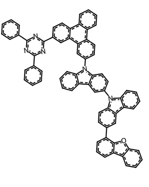 c1ccc(-c2nc(-c3ccccc3)nc(-c3ccc4c5ccccc5c5ccc(-n6c7ccccc7c7cc(-n8c9ccccc9c9cc(-c%10cccc%11c%10oc%10ccccc%10%11)ccc98)ccc76)cc5c4c3)n2)cc1